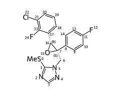 CSc1ncnn1C[C@]1(c2ccc(F)cc2)O[C@@H]1c1cccc(Cl)c1F